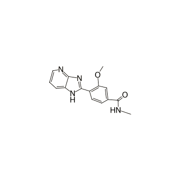 CNC(=O)c1ccc(-c2nc3ncccc3[nH]2)c(OC)c1